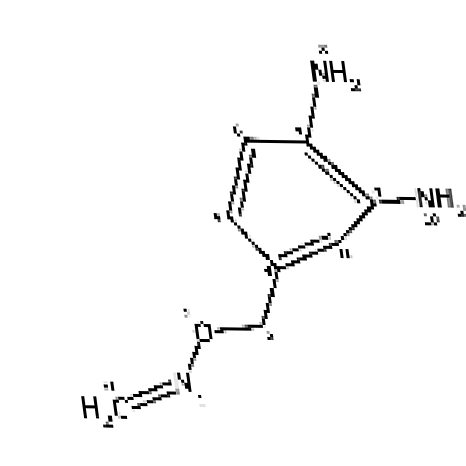 C=NOCc1ccc(N)c(N)c1